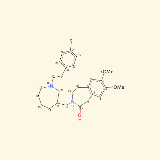 COc1cc2c(cc1OC)CC(=O)N(CC1CCCCN(CCc3ccc(C)cc3)C1)CC2